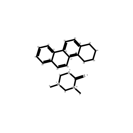 CN1CSC(=S)N(C)C1.c1ccc2c(c1)ccc1c3c(ccc12)CCCC3